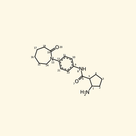 NC1CCCC1C(=O)Nc1ccc(N2CCCCCC2=O)cc1